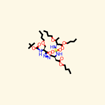 CCCCOC[C@H](NC(=O)OC(C)(C)C)c1nnc([C@H](CC(=O)OCCCC)NS(=O)(=O)N[C@H](C(=O)OCCCC)C(C)OCCCC)o1